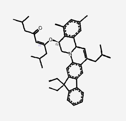 CCC1(CC)c2ccccc2-c2cc3c(cc21)N1C[C@@H](O/C(=C\C(=O)CC(C)C)CC(C)C)c2c(C)cc(C)cc2C1C=C3CC(C)C